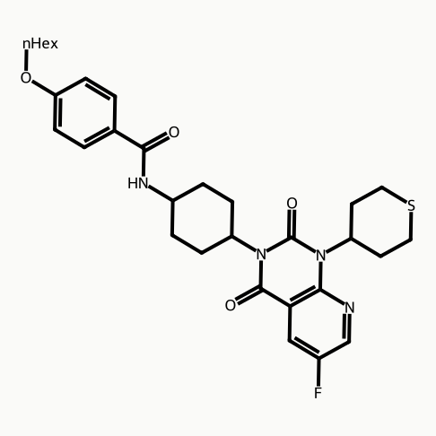 CCCCCCOc1ccc(C(=O)NC2CCC(n3c(=O)c4cc(F)cnc4n(C4CCSCC4)c3=O)CC2)cc1